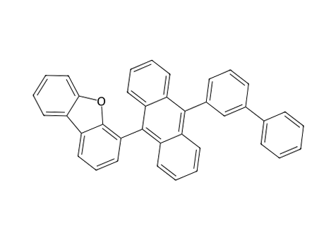 c1ccc(-c2cccc(-c3c4ccccc4c(-c4cccc5c4oc4ccccc45)c4ccccc34)c2)cc1